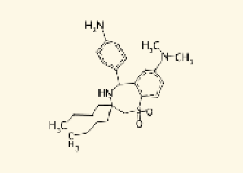 CCCCC1(CCCC)CS(=O)(=O)c2ccc(N(C)C)cc2C(c2ccc(N)cc2)N1